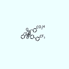 O=C(O)c1cccc(CNC(=O)[C@@H]2Cc3ccccc3N2S(=O)(=O)c2ccc(-c3cccc(C(F)(F)F)c3)cc2)c1